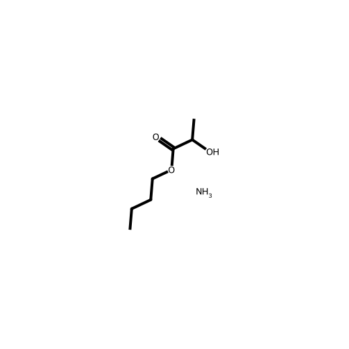 CCCCOC(=O)C(C)O.N